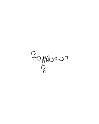 O=C(c1ccccc1)c1ccc(/C(=N/c2nc3ccc(OCc4ccc(Cl)cc4)cc3s2)OCc2ccc(Cl)cc2)cc1